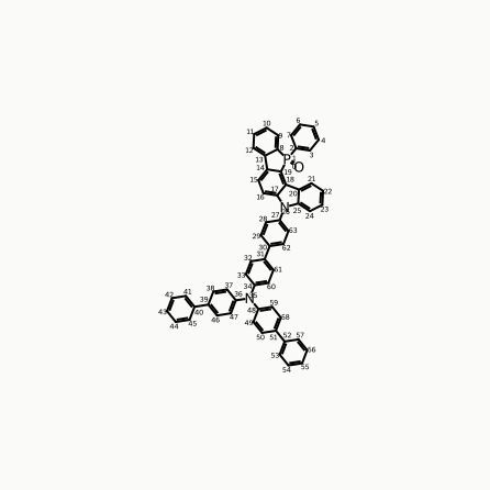 O=P1(c2ccccc2)c2ccccc2-c2ccc3c(c21)c1ccccc1n3-c1ccc(-c2ccc(N(c3ccc(-c4ccccc4)cc3)c3ccc(-c4ccccc4)cc3)cc2)cc1